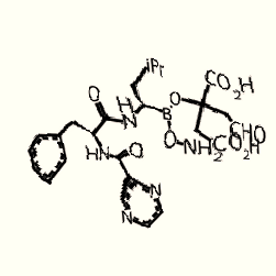 CC(C)C[C@H](NC(=O)[C@H](Cc1ccccc1)NC(=O)c1cnccn1)B(ON)OC(CC=O)(CC(=O)O)C(=O)O